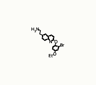 CCOc1ccc(Oc2ccc3cc(CCN)ccc3n2)c(Br)c1